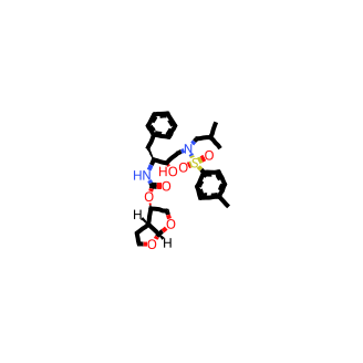 Cc1ccc(S(=O)(=O)N(CC(C)C)C[C@@H](O)[C@H](Cc2ccccc2)NC(=O)O[C@@H]2CO[C@@H]3OCC[C@@H]32)cc1